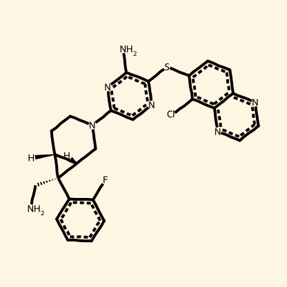 NC[C@]1(c2ccccc2F)[C@@H]2CCN(c3cnc(Sc4ccc5nccnc5c4Cl)c(N)n3)C[C@@H]21